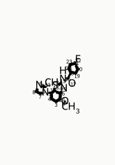 COc1ccc(-n2ccnc2C)c2sc(NC(=O)c3ccc(F)cc3)nc12